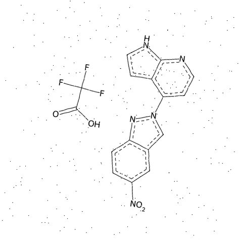 O=C(O)C(F)(F)F.O=[N+]([O-])c1ccc2nn(-c3ccnc4[nH]ccc34)cc2c1